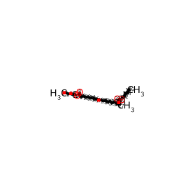 CCCCCCOC(=O)CCCCCCCCCCCCCCCCCC(C)C(=O)OCCCCCC